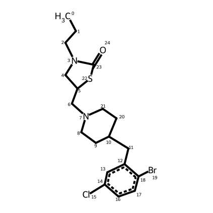 CCCN1CC(CN2CCC(Cc3cc(Cl)ccc3Br)CC2)SC1=O